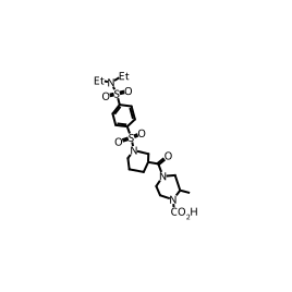 CCN(CC)S(=O)(=O)c1ccc(S(=O)(=O)N2CCCC(C(=O)N3CCN(C(=O)O)C(C)C3)C2)cc1